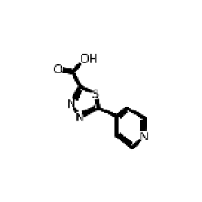 O=C(O)c1nnc(-c2ccncc2)s1